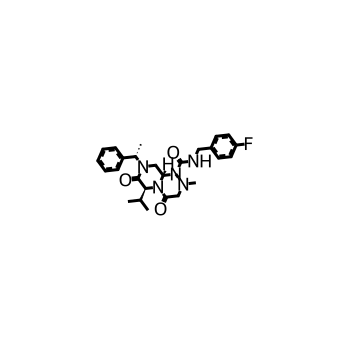 CC(C)[C@H]1C(=O)N([C@@H](C)c2ccccc2)C[C@H]2N1C(=O)CN(C)N2C(=O)NCc1ccc(F)cc1